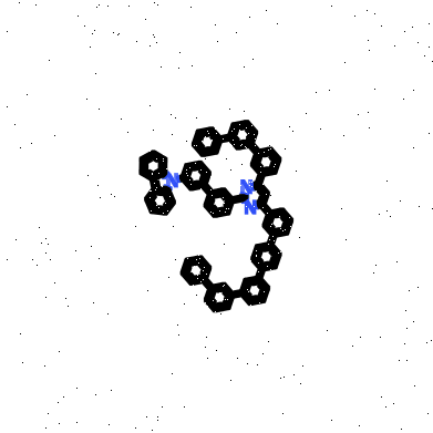 c1ccc(-c2cccc(-c3cccc(-c4ccc(-c5cccc(-c6cc(-c7cccc(-c8cccc(-c9ccccc9)c8)c7)nc(-c7cccc(-c8cccc(-n9c%10ccccc%10c%10ccccc%109)c8)c7)n6)c5)cc4)c3)c2)cc1